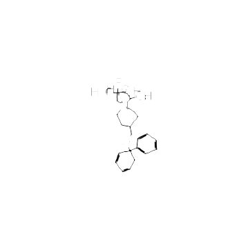 CC(C)[N+]1(CC(C)(C)F)CCC(COC2(c3ccccc3)C=CC=CC2)CC1